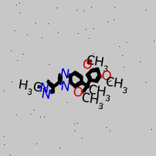 COc1cc(OC)cc(C(C)(C(C)=O)c2ccc3ncc(-c4cnn(C)c4)nc3c2)c1